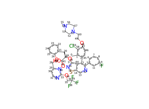 Cc1c(-c2c(-c3cccc(F)c3)ncc3snc(O[C@H](Cc4ccccc4OCc4ccnc(OCC(F)(F)F)n4)C(=O)O)c23)ccc(OCCN2CCN(C)CC2)c1Cl